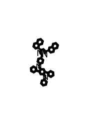 c1ccc(-n2c3ccccc3c3cc4c(cc32)c2ccccc2n4-c2ccc(-c3nc(-c4ccc5ccccc5c4)cc(-c4cccc5ccccc45)n3)cc2)cc1